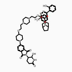 Nc1nnc(-c2ccccc2O)cc1N1CC2CCC(C1)N2c1cccc(OCCN2CCN(CCOC3CCN(c4ccc5c(c4)C(=O)N(C4CCC(=O)NC4O)C5=O)CC3)CC2)c1